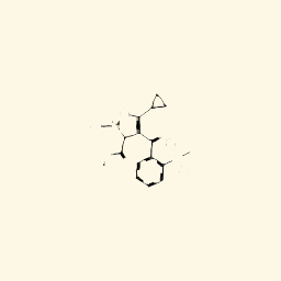 CC(C)OC(=O)C1C(C(=O)c2ccccc2S(C)(=O)=O)=C(C2CC2)ON1Cl